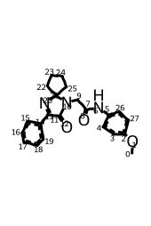 COc1ccc(NC(=O)CN2C(=O)C(c3ccccc3)=NC23CCCC3)cc1